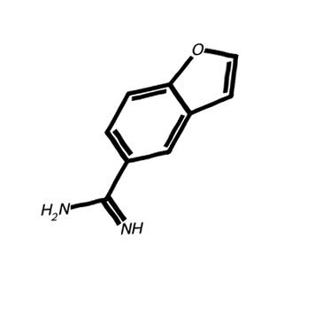 N=C(N)c1ccc2occc2c1